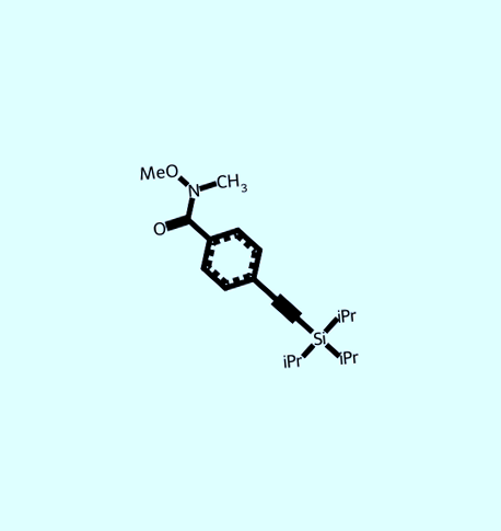 CON(C)C(=O)c1ccc(C#C[Si](C(C)C)(C(C)C)C(C)C)cc1